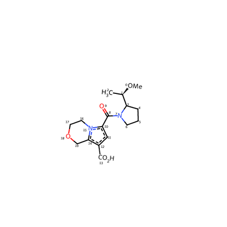 CO[C@H](C)C1CCCN1C(=O)c1cc(C(=O)O)c2n1CCOC2